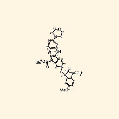 COc1ccc2c(c1)[C@]1(C[C@H]1c1ccc3c(Nc4nc(N5CCOCC5)ncc4Cl)nn(C(=O)OC(C)(C)C)c3c1)C(=O)N2C(=O)O